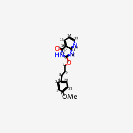 COc1ccc(CCCOc2nc3ncccc3c(=O)[nH]2)cc1